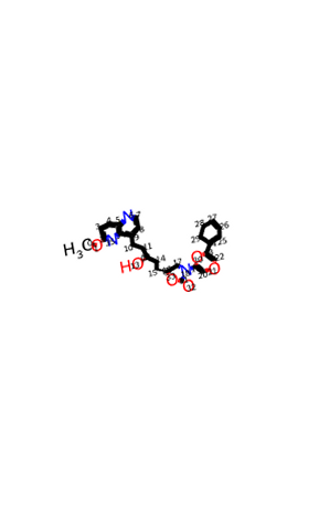 COc1ccc2nccc(CC[C@H](O)CC[C@H]3CN(C4=COC=C(C5=CC=CCC5)O4)C(=O)O3)c2n1